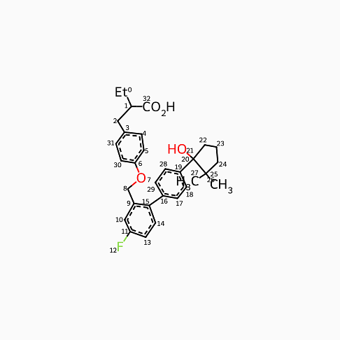 CCC(Cc1ccc(OCc2cc(F)ccc2-c2ccc(C3(O)CCCC3(C)C)cc2)cc1)C(=O)O